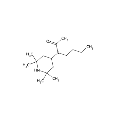 CCCCN(C(C)=O)C1CC(C)(C)NC(C)(C)C1